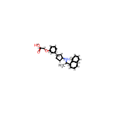 CC(NC1CC[C@@H](c2cccc(OCC(=O)O)c2)C1)c1cccc2ccccc12